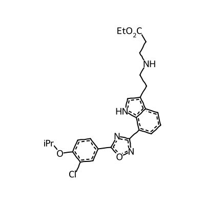 CCOC(=O)CCNCCc1c[nH]c2c(-c3noc(-c4ccc(OC(C)C)c(Cl)c4)n3)cccc12